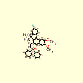 COc1cc2c3c(c4c(c2cc1OC)-c1ccc(F)cc1C4(C)C)C=CC(c1ccccc1)(c1ccccc1)O3